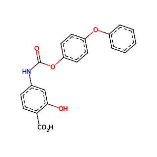 O=C(Nc1ccc(C(=O)O)c(O)c1)Oc1ccc(Oc2ccccc2)cc1